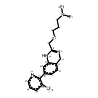 CCN(CC)CCCOCC1=N[CH]c2ccc(-c3ncccc3C(F)(F)F)cc2N1